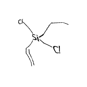 C=C[Si](Cl)(Cl)CC